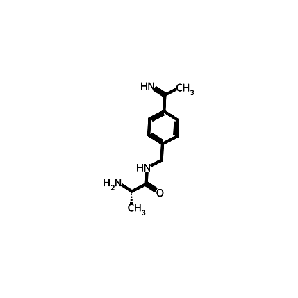 CC(=N)c1ccc(CNC(=O)[C@H](C)N)cc1